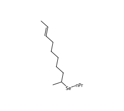 CC=CCCCCCC(C)[Se]CCC